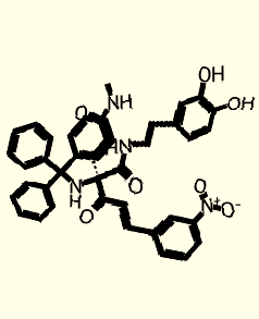 CNC(=O)CC[C@@](NC(c1ccccc1)(c1ccccc1)c1ccccc1)(C(=O)C=Cc1cccc([N+](=O)[O-])c1)C(=O)NCCc1ccc(O)c(O)c1